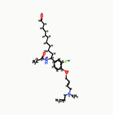 C=CCN(C)C/C=C/COc1ccc(C(CCCCCCCCCC=O)NC(C)=O)cc1F